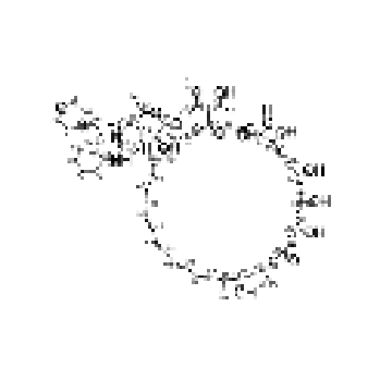 COC(=O)C1C(O)C[C@@]2(O)CC(O)C(O)CCC(O)CC(O)CC(O)CC(=O)O[C@@H](C)[C@H](C)[C@H](O)[C@@H](C)/C=C/C=C/C=C/C=C/C=C/C=C/C=C/[C@H](O[C@@H]3O[C@H](C)[C@@H](O)[C@H](NC(=NCC[N+]4(C)CCOCC4)NC4CCCCC4)[C@@H]3O)CC1O2